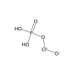 O=P(O)(O)O[Cl+][O-]